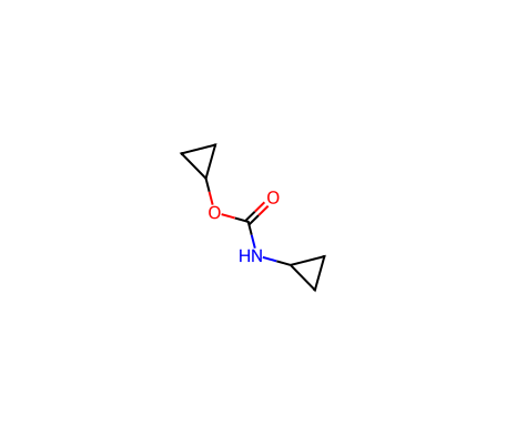 O=C(NC1CC1)OC1CC1